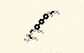 C=CC(=O)Oc1ccc(-c2ccc(-c3ccc(O/C=C\OC(=O)C(=C)C)c(C)c3)cc2)cc1